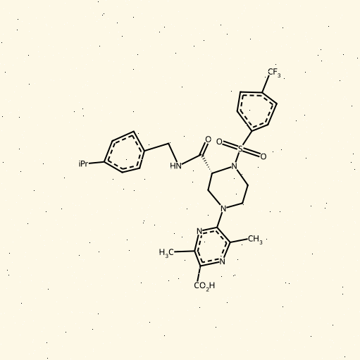 Cc1nc(N2CCN(S(=O)(=O)c3ccc(C(F)(F)F)cc3)[C@@H](C(=O)NCc3ccc(C(C)C)cc3)C2)c(C)nc1C(=O)O